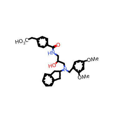 COc1ccc(CN(CC(O)CNC(=O)c2ccc(CC(=O)O)cc2)C2Cc3ccccc3C2)c(OC)c1